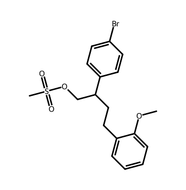 COc1ccccc1CCC(COS(C)(=O)=O)c1ccc(Br)cc1